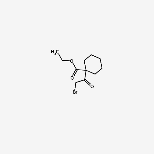 CCOC(=O)C1(C(=O)CBr)CCCCC1